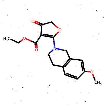 CCOC(=O)C1=C(N2CCc3ccc(OC)cc3C2)OCC1=O